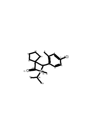 Cc1cc(Cl)ccc1C1C2(CCCC2)C(=O)[N+]1(C)C(C)C